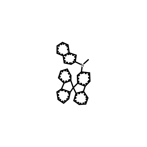 CN(c1ccc2c(c1)C1(c3ccccc3-c3ccccc31)c1ccccc1-2)c1ccc2ccccc2c1